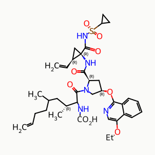 C=CCCC(C)C[C@@H](C)C(NC(=O)O)C(=O)N1C[C@H](Oc2ncc(OCC)c3ccccc23)C[C@@H]1C(=O)N[C@]1(C(=O)NS(=O)(=O)C2CC2)C[C@@H]1C=C